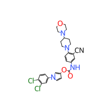 N#Cc1cc(NC(=O)Oc2ccn(-c3ccc(Cl)c(Cl)c3)c2)ccc1N1CCC(N2CCOCC2)CC1